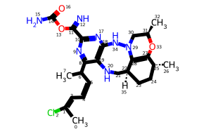 C/C(Cl)=C\C=C/C(C)c1nc(C(=N)OC(N)=O)nc2c1NC[C@@H]1CC[C@@H](C)C3=C1N(C[C@@H](C)O3)N2